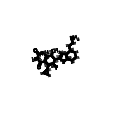 CC1c2[nH]c(=O)[nH]c(=O)c2C(C2CC2)=C(F)C1c1cc2c(s1)CCCC2CCN